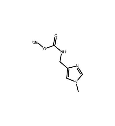 Cn1cnc(CNC(=O)OC(C)(C)C)c1